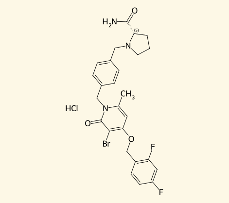 Cc1cc(OCc2ccc(F)cc2F)c(Br)c(=O)n1Cc1ccc(CN2CCC[C@H]2C(N)=O)cc1.Cl